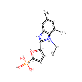 Cc1cc(C)c2c(c1)nc(-c1ccc(P(=O)(O)O)o1)n2CC(C)C